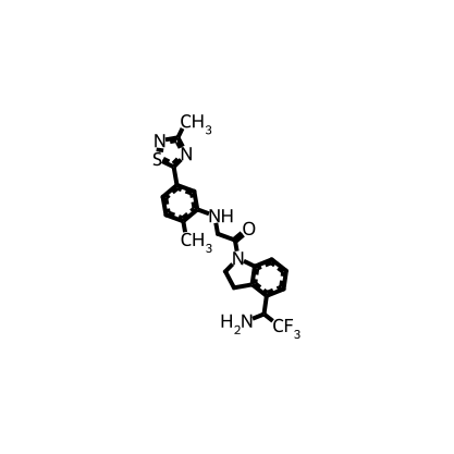 Cc1nsc(-c2ccc(C)c(NCC(=O)N3CCc4c(C(N)C(F)(F)F)cccc43)c2)n1